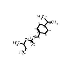 CCC(C)OC(=O)NCC1=CCC(C(C)C)CC1